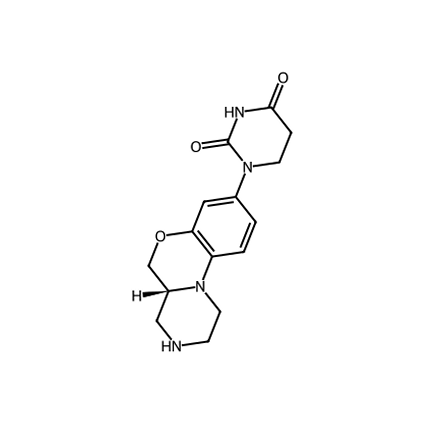 O=C1CCN(c2ccc3c(c2)OC[C@H]2CNCCN32)C(=O)N1